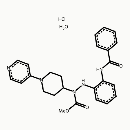 COC(=O)N(Nc1ccccc1NC(=O)c1ccccc1)C1CCN(c2ccncc2)CC1.Cl.O